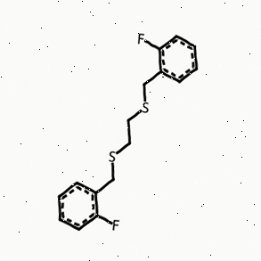 Fc1ccccc1CSCCSCc1ccccc1F